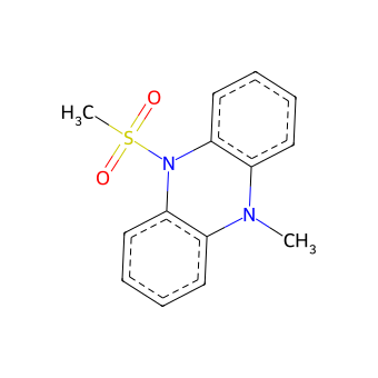 CN1c2ccccc2N(S(C)(=O)=O)c2ccccc21